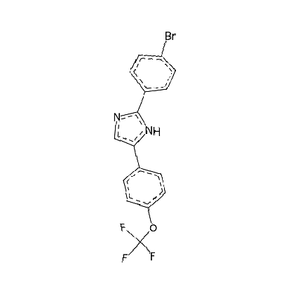 FC(F)(F)Oc1ccc(-c2cnc(-c3ccc(Br)cc3)[nH]2)cc1